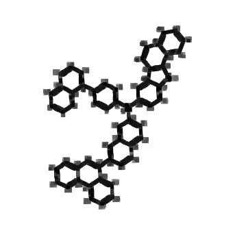 c1ccc2c(-c3ccc(N(c4ccc5ccc(-c6cc7ccccc7c7ccccc67)cc5c4)c4ccc5sc6c7ccccc7ccc6c5c4)cc3)cccc2c1